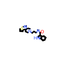 CN(CCCN1CCC(c2cccs2)(N(C)C)CC1)C(=O)c1c[nH]c2ccccc12